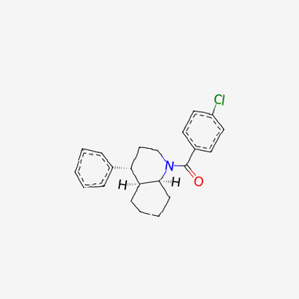 O=C(c1ccc(Cl)cc1)N1CC[C@@H](c2ccccc2)[C@@H]2CCCC[C@@H]21